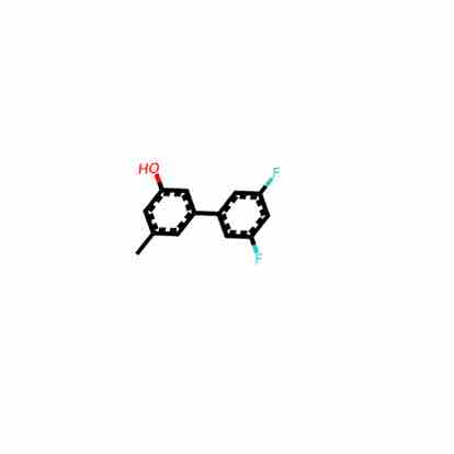 Cc1cc(O)cc(-c2cc(F)cc(F)c2)c1